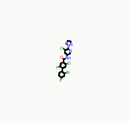 O=C(Nc1cnc(-n2nccn2)c(Cl)c1)c1cc(F)c(-c2ccc(F)cc2Br)cc1Cl